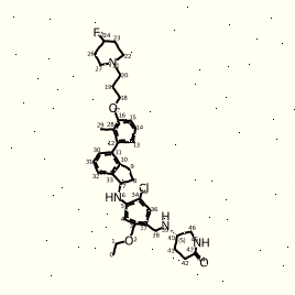 CCOc1cc(NC2CCc3c(-c4cccc(OCCCN5CCC(F)CC5)c4C)cccc32)c(Cl)cc1CN[C@H]1CCC(=O)NC1